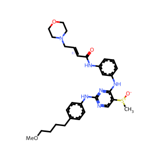 COCCCCc1ccc(Nc2ncc([S+](C)[O-])c(Nc3cccc(NC(=O)/C=C/CN4CCOCC4)c3)n2)cc1